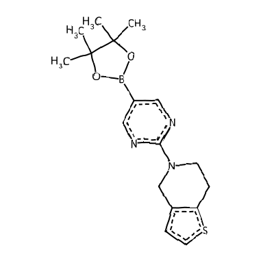 CC1(C)OB(c2cnc(N3CCc4sccc4C3)nc2)OC1(C)C